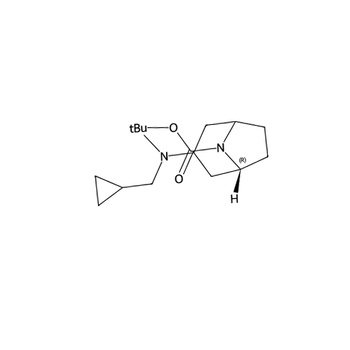 CN(CC1CC1)C1CC2CC[C@H](C1)N2C(=O)OC(C)(C)C